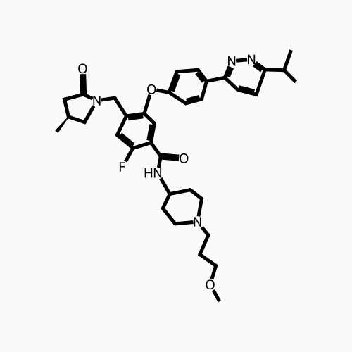 COCCCN1CCC(NC(=O)c2cc(Oc3ccc(-c4ccc(C(C)C)nn4)cc3)c(CN3C[C@@H](C)CC3=O)cc2F)CC1